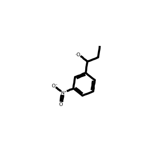 CCC([O])c1cccc([N+](=O)[O-])c1